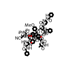 COc1ccc(C(OC[C@H]2O[C@@H](n3ccc(NC(=O)c4ccccc4)nc3=O)C[C@@H]2OP(=O)(OC[C@H]2O[C@@H](n3cc(C)c(=O)[nH]c3=O)C[C@@H]2OP(=O)(OC[C@H]2O[C@@H](n3cnc4c3NCN=C4NC(=O)c3ccccc3)C[C@@H]2OP(OCCC#N)N(C(C)C)C(C)C)Oc2ccccc2Cl)Oc2ccccc2Cl)(c2ccccc2)c2ccc(OC)cc2)cc1